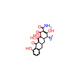 CN(C)[C@@H]1C(O)=C(C(N)=O)C(=O)C2(O)C(O)=C3C(=O)c4c(O)cccc4CC3CC12